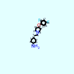 N[C@H]1CC[C@H](CCN2CCC(Oc3ccc(F)cc3F)CC2)CC1